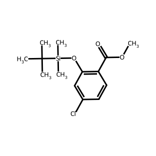 COC(=O)c1ccc(Cl)cc1O[Si](C)(C)C(C)(C)C